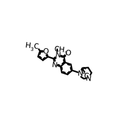 Cc1ccc(-c2nc3ccc(N4CCN5CCC4CC5)cc3c(=O)n2C)o1